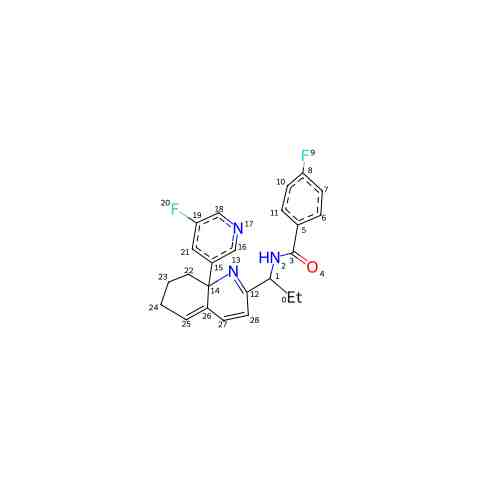 CCC(NC(=O)c1ccc(F)cc1)C1=NC2(c3cncc(F)c3)CCCC=C2C=C1